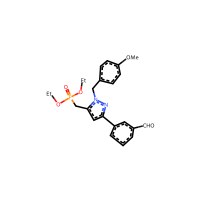 CCOP(=O)(Cc1cc(-c2cccc(C=O)c2)nn1Cc1ccc(OC)cc1)OCC